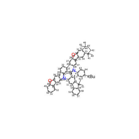 CC(C)(C)c1ccc(N2B3c4cc5c(cc4-n4c6cc7c(cc6c6ccc(c3c64)-c3cc4oc6cc8c(cc6c4cc32)C(C)(C)CCC8(C)C)oc2ccccc27)-c2ccccc2C5(C)C)cc1